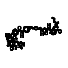 CCCC(C)N(C)Cc1c(C=O)cccc1NC(=O)CNCCOCCN1CCC(NC(=O)c2ccc(Nc3ncc4c(n3)N(Cc3cnc(C)s3)C(CC)C(=O)N4C)c(OC)c2)CC1